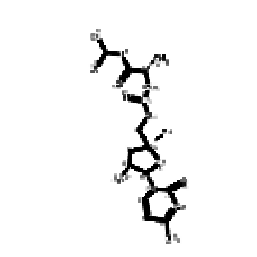 CCC(CC)OC(=O)[C@H](C)N[PH](=O)OC[C@]1(F)C[C@H](C)[C@H](n2ccc(N)nc2=O)O1